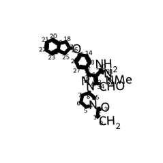 C=CC(=O)N1CCCC(n2nc(-c3ccc(OC4Cc5ccccc5C4)cc3)c(/C(N)=N\NC)c2C=O)C1